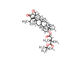 CC(C)C1=C2[C@H]3CC[C@@H]4[C@@]5(C)CC[C@H](OC(=O)CC(C)(C)C(=O)OC(C)(C)C)C(C)(C)[C@@H]5CC[C@@]4(C)[C@]3(C)CCC2(C=O)CC1=O